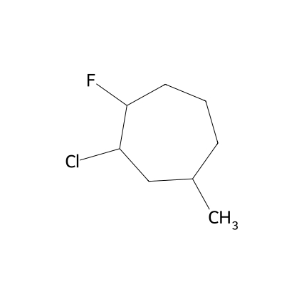 CC1CCCC(F)C(Cl)C1